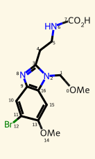 COCn1c(CCNC(=O)O)nc2cc(Br)c(OC)cc21